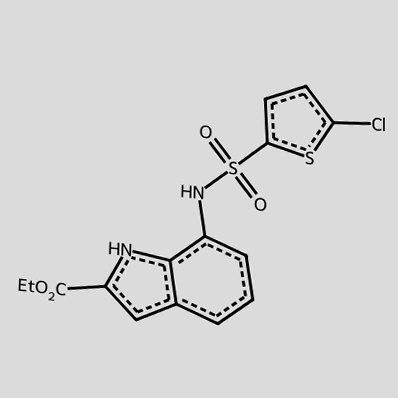 CCOC(=O)c1cc2cccc(NS(=O)(=O)c3ccc(Cl)s3)c2[nH]1